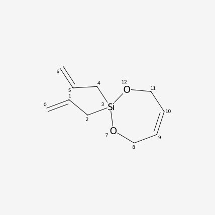 C=CC[Si]1(CC=C)OCC=CCO1